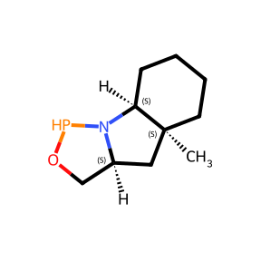 C[C@@]12CCCC[C@@H]1N1POC[C@@H]1C2